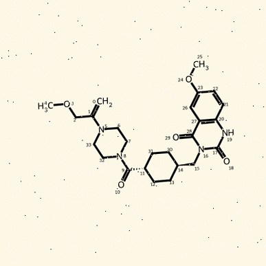 C=C(COC)N1CCN(C(=O)[C@H]2CC[C@H](Cn3c(=O)[nH]c4ccc(OC)cc4c3=O)CC2)CC1